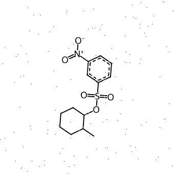 CC1CCCCC1OS(=O)(=O)c1cccc([N+](=O)[O-])c1